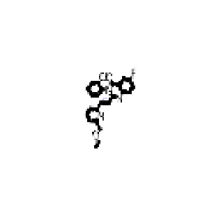 CCOCc1cccc(/C=C/c2nc3ccc(F)cc3c(=O)n2-c2ccccc2Cl)n1